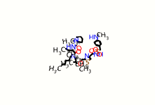 CCCCCCN(C(=O)[C@@H](NC(=O)[C@H]1CCCCN1C)[C@@H](C)CC)[C@H](C[C@@H](OCC)c1nc(C(=O)NS(=O)(=O)Cc2ccc(NC)cc2)cs1)C(C)C